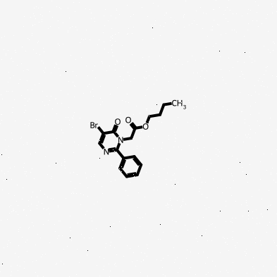 CCCCOC(=O)Cn1c(-c2ccccc2)ncc(Br)c1=O